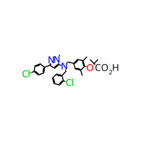 Cc1cc(CN(Cc2ccccc2Cl)c2cc(-c3ccc(Cl)cc3)nn2C)cc(C)c1OC(C)(C)C(=O)O